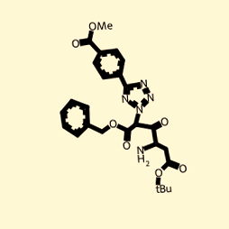 COC(=O)c1ccc(-c2nnn(C(C(=O)OCc3ccccc3)C(=O)C(N)CC(=O)OC(C)(C)C)n2)cc1